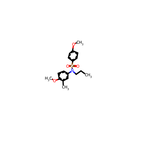 CCCN(c1ccc(OC)c(C)c1)S(=O)(=O)c1ccc(OC)cc1